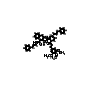 COc1cc(CCC(=O)N2CCN(CCCc3ccccc3)CC2C(=O)NC(Cc2ccccc2)C(O)CC(=O)NCCCc2ccccc2)cc(OC)c1OC